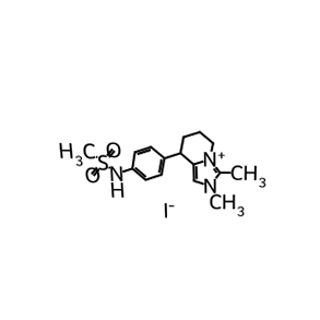 Cc1n(C)cc2[n+]1CCCC2c1ccc(NS(C)(=O)=O)cc1.[I-]